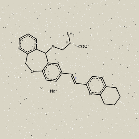 C[C@@H](CSC1c2ccccc2COc2ccc(/C=C/c3ccc4c(n3)CCCC4)cc21)C(=O)[O-].[Na+]